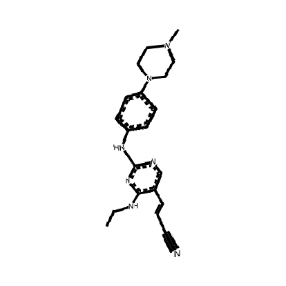 CCNc1nc(Nc2ccc(N3CCN(C)CC3)cc2)ncc1C=CC#N